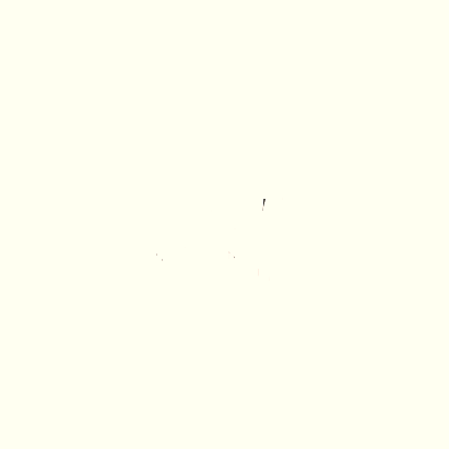 CC(c1ccc(OCC(F)(F)F)cn1)N(C)C(=O)[C@@H](C)Oc1cccc(Cl)c1